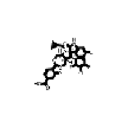 O=C(O)c1ccc2c3n(nc2c1)C[C@@H]1[C@H](CO3)N(CC2CC2)[C@@]2(C(=O)Nc3cc(Cl)ccc32)[C@H]1c1ccc(F)c(Cl)c1F